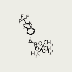 CC1(C)OB([C@H]2C[C@@H]2c2ccc3nc(C(F)(F)F)sc3c2)OC1(C)C